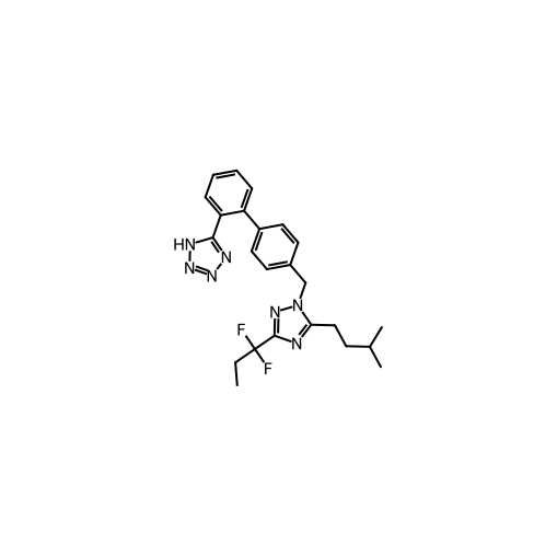 CCC(F)(F)c1nc(CCC(C)C)n(Cc2ccc(-c3ccccc3-c3nnn[nH]3)cc2)n1